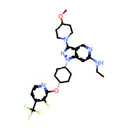 CCNc1cc2c(cn1)c(N1CCC(OC)CC1)nn2[C@H]1CC[C@@H](Oc2nccc(C(F)(F)F)c2F)CC1